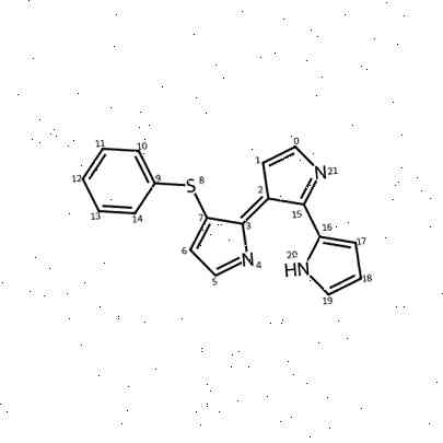 C1=CC(=C2N=CC=C2Sc2ccccc2)C(c2ccc[nH]2)=N1